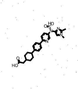 Cc1nc(N(c2ccc(-c3ccc(C4CCC(CC(=O)O)CC4)cc3)nc2)[SH](=O)=O)cn1C